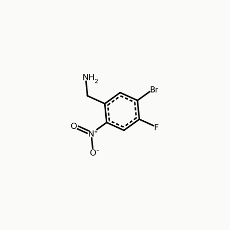 NCc1cc(Br)c(F)cc1[N+](=O)[O-]